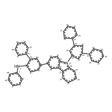 c1ccc(Nc2ccc(-c3ccc4c(c3)c3ccccc3n4-c3cc(-c4ccccc4)cc(-c4ccccc4)c3)cc2-c2ccccc2)cc1